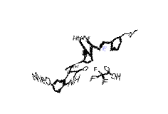 COc1ccc2c(c1)[C@]1(C[C@H]1c1ccc3c(/C=C/c4cccc(CN(C)C)c4)n[nH]c3c1)C(=O)N2.O=C(O)C(F)(F)F